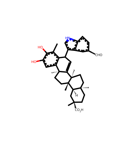 Cc1c(O)c(O)cc2c1C(c1c[nH]c3ccc(C=O)cc13)C=C1[C@@]2(C)CC[C@@]2(C)[C@@H]3C[C@](C)(C(=O)O)CC[C@]3(C)CC[C@]12C